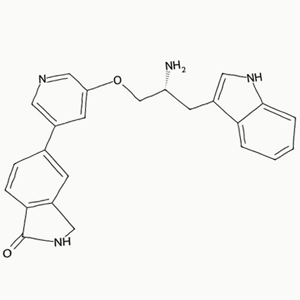 N[C@@H](COc1cncc(-c2ccc3c(c2)CNC3=O)c1)Cc1c[nH]c2ccccc12